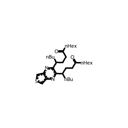 CCCCCCC(=O)CCC(CCCC)c1nc2cscc2nc1C(CCCC)CCC(=O)CCCCCC